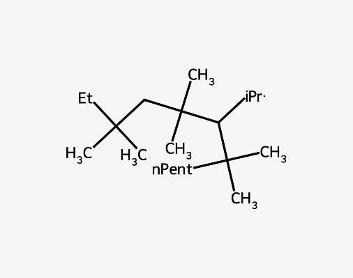 CCCCCC(C)(C)C([C](C)C)C(C)(C)CC(C)(C)CC